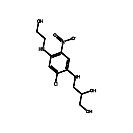 O=[N+]([O-])c1cc(NCC(O)CO)c(Cl)cc1NCCO